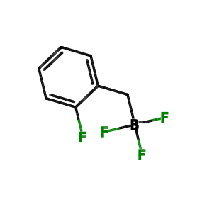 Fc1ccccc1C[B-](F)(F)F